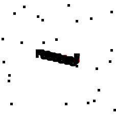 Fc1cccc(Oc2cccc(Oc3cccc(Oc4cccc(Oc5cccc(Oc6cccc(Oc7cccc(F)c7)c6)c5)c4)c3)c2)c1